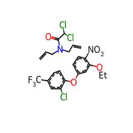 C=CCN(CC=C)C(=O)C(Cl)Cl.CCOc1cc(Oc2ccc(C(F)(F)F)cc2Cl)ccc1[N+](=O)[O-]